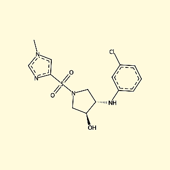 Cn1cnc(S(=O)(=O)N2C[C@H](Nc3cccc(Cl)c3)[C@@H](O)C2)c1